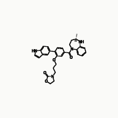 C[C@H]1CCN(C(=O)c2ccc(-c3ccc4[nH]ccc4c3)c(OCCCN3CCOC3=O)c2)c2ccccc2N1